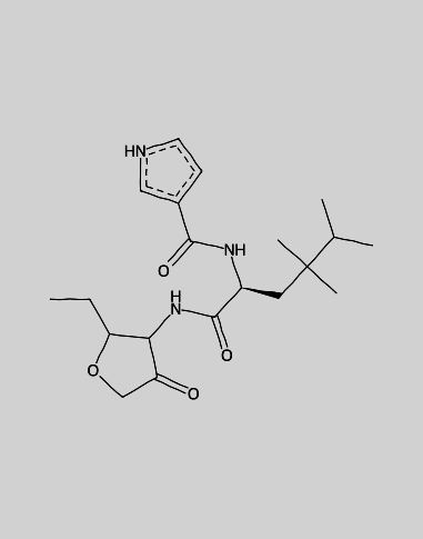 CCC1OCC(=O)C1NC(=O)[C@H](CC(C)(C)C(C)C)NC(=O)c1cc[nH]c1